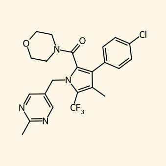 Cc1ncc(Cn2c(C(=O)N3CCOCC3)c(-c3ccc(Cl)cc3)c(C)c2C(F)(F)F)cn1